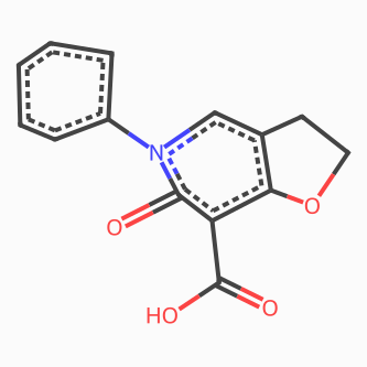 O=C(O)c1c2c(cn(-c3ccccc3)c1=O)CCO2